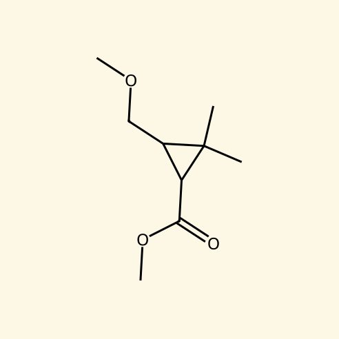 COCC1C(C(=O)OC)C1(C)C